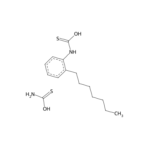 CCCCCCCc1ccccc1NC(O)=S.NC(O)=S